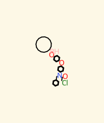 O=C(CCl)N(Cc1ccccc1)c1ccc(Oc2ccc(OBC3CCCCCCCCCCCCCC3)cc2)cc1